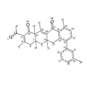 CC(=O)C1=C(C)CC2(C)CC3(C)Cc4c(-c5cccc(C)c5)ccc(C)c4C(=O)C3=C(C)C2(C)C1=O